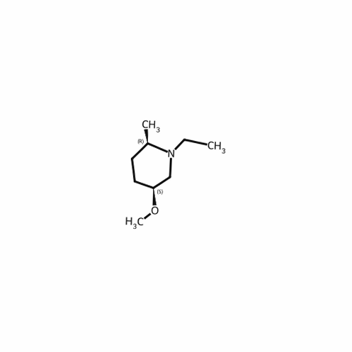 CCN1C[C@@H](OC)CC[C@H]1C